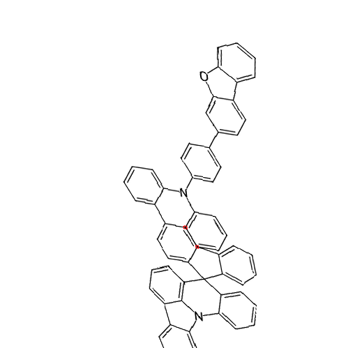 c1ccc(N(c2ccc(-c3ccc4c(c3)oc3ccccc34)cc2)c2ccccc2-c2ccc3c(c2)-c2ccccc2C32c3ccccc3-n3c4ccccc4c4cccc2c43)cc1